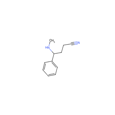 CNC(CCC#N)c1ccccc1